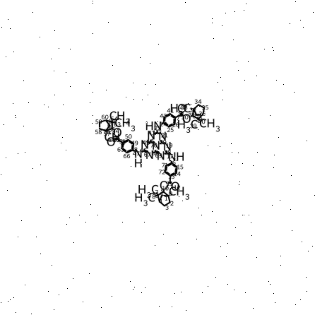 CC12CCC(C1)C(C)(C)C2OC(=O)c1ccc(NC2=NC3=NC(Nc4ccc(C(=O)OC5C6(C)CCC(C6)C5(C)C)cc4)=NC4=NC(Nc5ccc(C(=O)OC6C7(C)CCC(C7)C6(C)C)cc5)=NC(=N2)N34)cc1